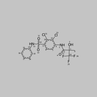 CC(O)(C(=O)Nc1ccc(S(=O)(=O)Nc2ccccc2)c(Cl)c1Cl)C(F)(F)F